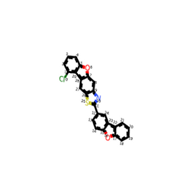 Clc1cccc2oc3cc4nc(-c5ccc6oc7ccccc7c6c5)sc4cc3c12